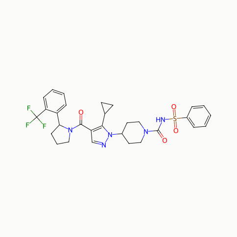 O=C(NS(=O)(=O)c1ccccc1)N1CCC(n2ncc(C(=O)N3CCCC3c3ccccc3C(F)(F)F)c2C2CC2)CC1